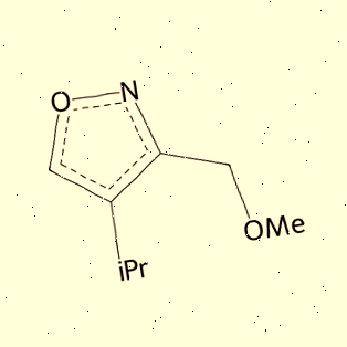 COCc1nocc1C(C)C